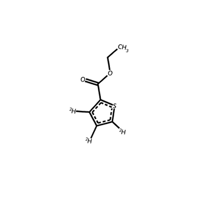 [2H]c1sc(C(=O)OCC)c([2H])c1[2H]